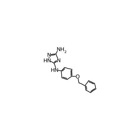 Nc1n[nH]c(Nc2ccc(OCc3ccccc3)cc2)n1